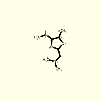 CNC1OC(CN(C)C)OC1C